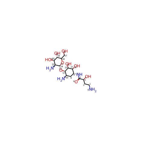 NCC[C@H](O)C(=O)N[C@@H]1CC(N)[C@@H](O[C@H]2OC(CO)[C@@H](O)[C@H](O)C2N)C(O)C1O